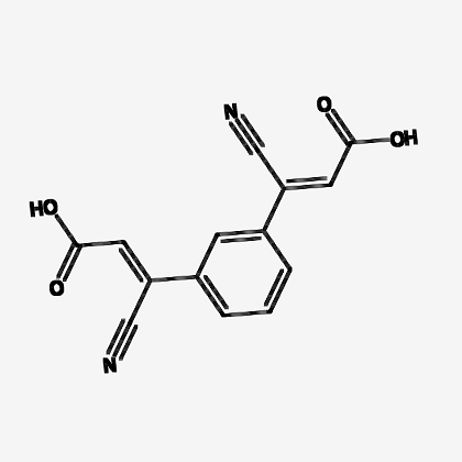 N#CC(=CC(=O)O)c1cccc(C(C#N)=CC(=O)O)c1